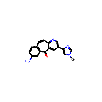 Cn1cnc(-c2cnc3ccc4ccc(N)cc4c(=O)c3c2)c1